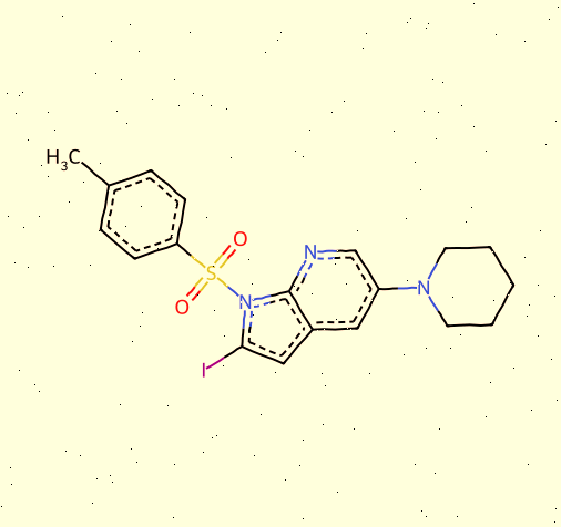 Cc1ccc(S(=O)(=O)n2c(I)cc3cc(N4CCCCC4)cnc32)cc1